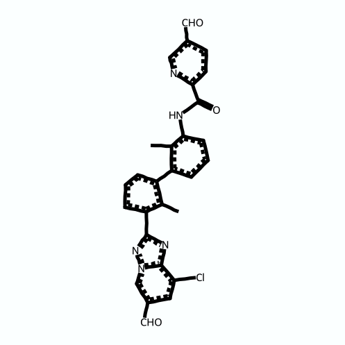 Cc1c(NC(=O)c2ccc(C=O)cn2)cccc1-c1cccc(-c2nc3c(Cl)cc(C=O)cn3n2)c1C